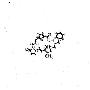 C[C@@H](CCCCCc1ccccc1)[C@H](O)C=C[C@H]1CCC(=O)N1CCCc1ccc(C(=O)O)s1